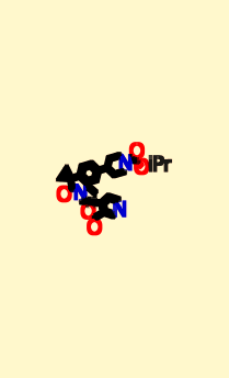 CC(C)OC(=O)N1CCC(c2ccc(C3(C(=O)N4CC[C@@]5(C4)OC(=O)c4cnccc45)CC3)cc2)CC1